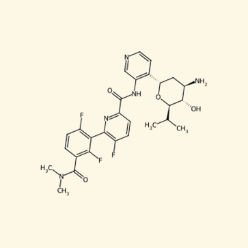 CC(C)[C@H]1O[C@H](c2ccncc2NC(=O)c2ccc(F)c(-c3c(F)ccc(C(=O)N(C)C)c3F)n2)C[C@@H](N)[C@@H]1O